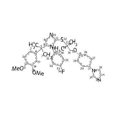 COc1ccc(C(C)(C)c2cnc(SC(C)(C)COc3ccc(-n4ccnc4)cc3)n2-c2ccc(F)cc2)cc1OC